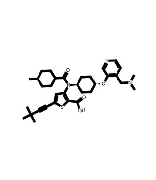 CC1CCC(C(=O)N(c2cc(C#CC(C)(C)C)sc2C(=O)O)[C@H]2CC[C@H](Oc3cnccc3CN(C)C)CC2)CC1